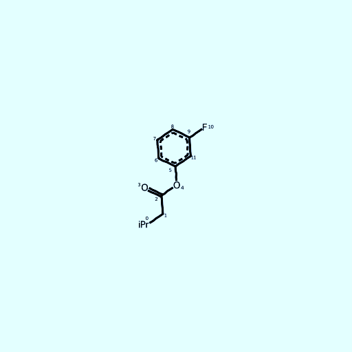 CC(C)CC(=O)Oc1cccc(F)c1